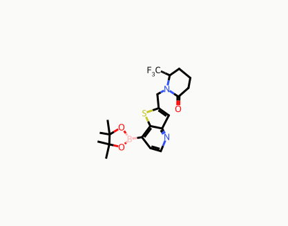 CC1(C)OB(c2ccnc3cc(CN4C(=O)CCCC4C(F)(F)F)sc23)OC1(C)C